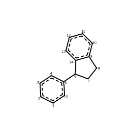 [c]1ccccc1C1CCc2ccccc21